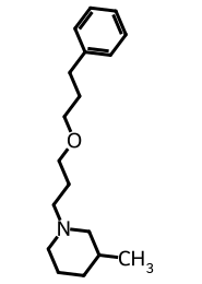 CC1CCCN(CCCOCCCc2ccccc2)C1